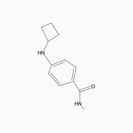 CNC(=O)c1ccc(NC2CCC2)cc1